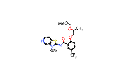 CCCCn1/c(=N/C(=O)c2cc(C(F)(F)F)ccc2OC[C@H](C)OCOC)sc2ccncc21